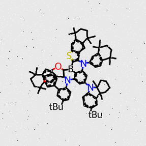 CC(C)(C)c1ccc(N2c3cc(N4c5ccc(C(C)(C)C)cc5C5(C)CCCCC45C)cc4c3B(c3sc5cc6c(cc5c3N4c3ccc4c(c3)C(C)(C)CCC4(C)C)C(C)(C)CCC6(C)C)C3Oc4cc5c(cc4C32)C(C)(C)CCC5(C)C)c(-c2ccccc2)c1